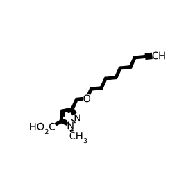 C#CCCCCCCCOCc1cc(C(=O)O)n(C)n1